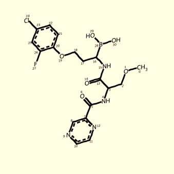 COCC(NC(=O)c1cnccn1)C(=O)NC(CCOc1ccc(Cl)cc1F)B(O)O